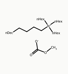 CCCCCCCCCCCCCC[N+](CCCCCC)(CCCCCC)CCCCCC.COC(=O)[O-]